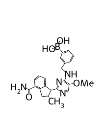 COc1cnc(C2c3cccc(C(N)=O)c3CC2C)nc1NCc1cccc(B(O)O)c1